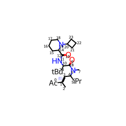 CC(=O)/C(C)=C/C(C(C)C)N(C)C(=O)C(NC(=O)C1CCCCN1C1CCC1)C(C)(C)C